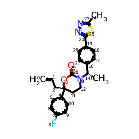 C=CC[C@]1(c2ccc(F)cc2)CCN([C@@H](C)c2ccc(-c3nnc(C)s3)cc2)C(=O)O1